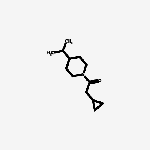 CC(C)C1CCN(C(=O)CC2CC2)CC1